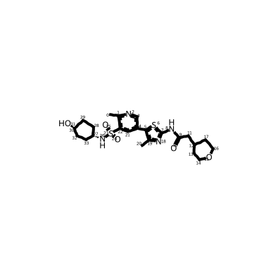 Cc1ncc(-c2sc(NC(=O)CC3CCOCC3)nc2C)cc1S(=O)(=O)N[C@H]1CC[C@H](O)CC1